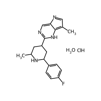 Cc1cnc2cnc(C3CC(C)NC(c4ccc(F)cc4)C3)[nH]c1-2.Cl.O